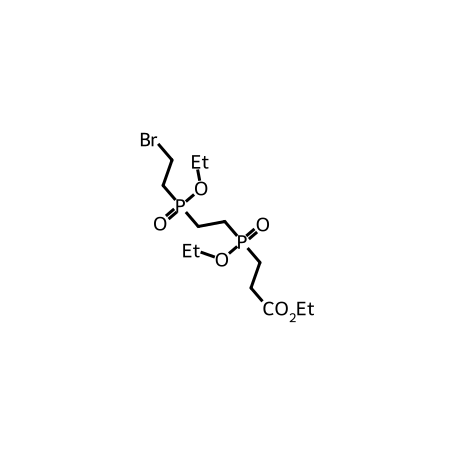 CCOC(=O)CCP(=O)(CCP(=O)(CCBr)OCC)OCC